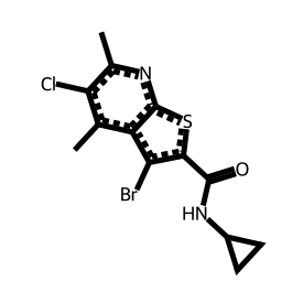 Cc1nc2sc(C(=O)NC3CC3)c(Br)c2c(C)c1Cl